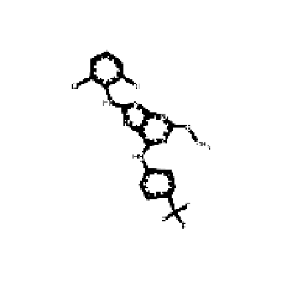 COc1nc(Nc2ccc(C(F)(F)F)cc2)c2nc(Nc3c(Cl)cccc3Cl)sc2n1